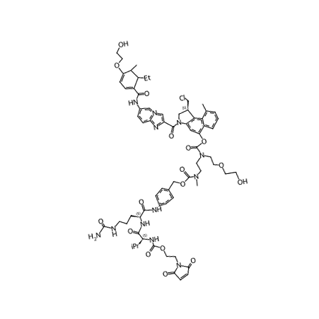 CCC1C(C(=O)Nc2ccc3nc(C(=O)N4C[C@@H](CCl)c5c4cc(OC(=O)N(CCOCCO)CCN(C)C(=O)OCc4ccc(NC(=O)[C@H](CCCNC(N)=O)NC(=O)[C@@H](NC(=O)OCCN6C(=O)C=CC6=O)C(C)C)cc4)c4cccc(C)c54)cn3c2)=CC=C(OCCO)C1C